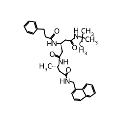 C[C@@H](CC(=O)NCc1cccc2ccccc12)NC(=O)C[C@H](CC(=O)NC(C)(C)C)NC(=O)CCc1ccccc1